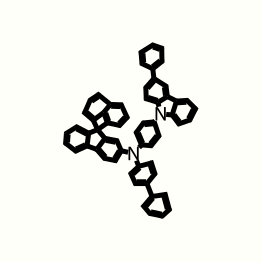 c1ccc(-c2ccc(N(c3ccc(-n4c5ccccc5c5cc(-c6ccccc6)ccc54)cc3)c3ccc4c(c3)C3(c5ccccc5-4)c4cccc5cccc3c45)cc2)cc1